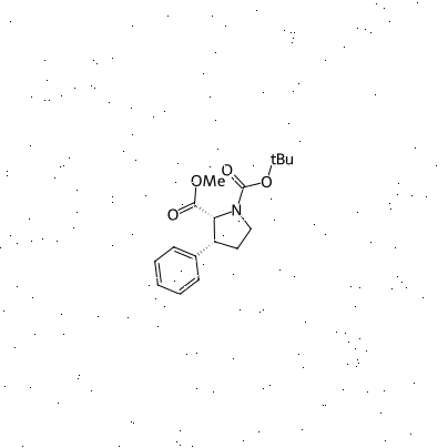 COC(=O)[C@H]1[C@@H](c2ccccc2)CCN1C(=O)OC(C)(C)C